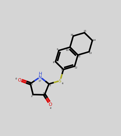 O=C1CC(=O)C(Sc2ccc3c(c2)CCCC3)N1